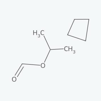 C1CCC1.CC(C)OC=O